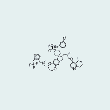 C[C@@H](COc1ccnc2c1[C@H](C)CCC2)C[C@H]1Cc2cc3c(cc2C12CCC(Nc1cccc(Cl)c1)(C(=O)O)CC2)O[C@@H](CN(C)Cc1ccnn1CC(F)(F)F)CCO3